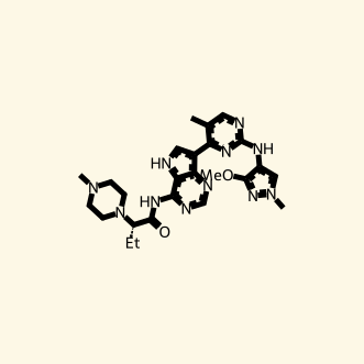 CC[C@@H](C(=O)Nc1ncnc2c(-c3nc(Nc4cn(C)nc4OC)ncc3C)c[nH]c12)N1CCN(C)CC1